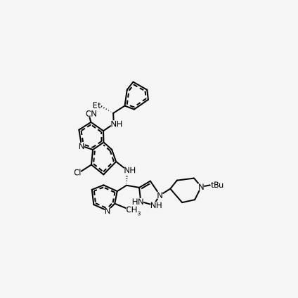 CC[C@@H](Nc1c(C#N)cnc2c(Cl)cc(N[C@H](C3=CN(C4CCN(C(C)(C)C)CC4)NN3)c3cccnc3C)cc12)c1ccccc1